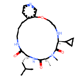 CC(C)C[C@H]1NC(=O)[C@@H](C)N(C)C(=O)[C@H](C2CC2)NCCOc2cnccc2CCCNC1=O